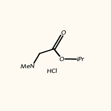 CNCC(=O)OC(C)C.Cl